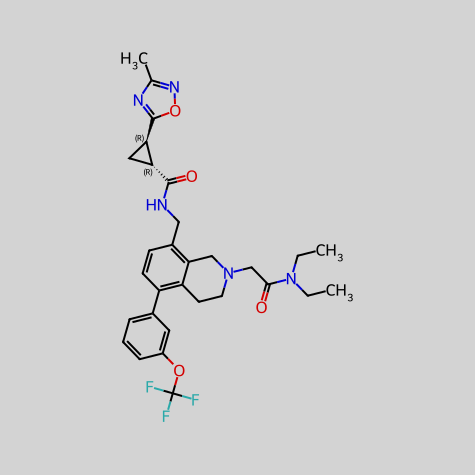 CCN(CC)C(=O)CN1CCc2c(-c3cccc(OC(F)(F)F)c3)ccc(CNC(=O)[C@@H]3C[C@H]3c3nc(C)no3)c2C1